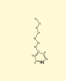 CCCCCC[CH]c1ccncc1